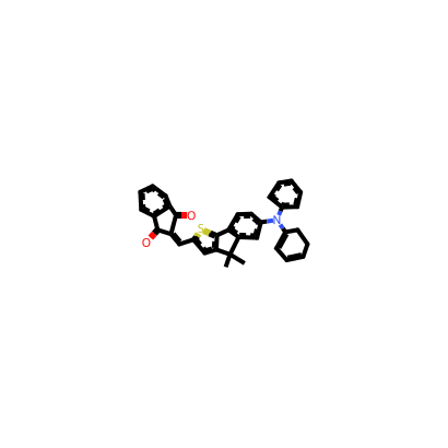 CC1(C)c2cc(N(C3=CC=CCC3)c3ccccc3)ccc2-c2sc(C=C3C(=O)c4ccccc4C3=O)cc21